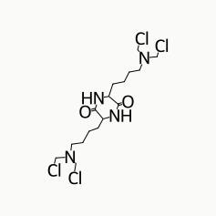 O=C1NC(CCCCN(CCl)CCl)C(=O)NC1CCCCN(CCl)CCl